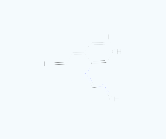 C=C\C=C(C=C)/C(=C\C)/N=C\N=C